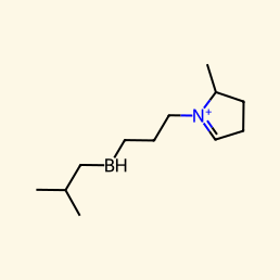 CC(C)CBCCC[N+]1=CCCC1C